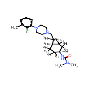 [2H]C1([2H])C([2H])([2H])[C@]([2H])(C([2H])([2H])CN2CCN(c3cccc(C)c3Cl)CC2)C([2H])([2H])C([2H])([2H])[C@@]1([2H])NC(=O)N(C)C